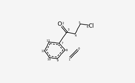 C=C.O=C(CCCl)c1ccccc1